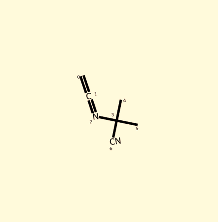 C=C=NC(C)(C)C#N